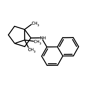 CC1(C)C2CCC1(C)C(Nc1cccc3ccccc13)C2